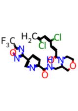 C=C(Cl)/C=C(Cl)\C=C\C(=O)N1CCOCC1CNC(=O)c1ccc(-c2noc(C(F)(F)F)n2)cn1